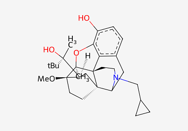 CO[C@]12CC[C@@]3(C[C@@H]1[C@](C)(O)C(C)(C)C)C1Cc4ccc(O)c5c4[C@@]3(CCN1CC1CC1)[C@]2(C)O5